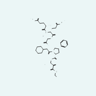 CCC[C@H](NC(=O)[C@@H]1C[C@@H](c2ccccc2)CN1C(=O)[C@@H](NC(=O)[C@@H](NC(=O)[C@H](CCC(=O)OC(C)(C)C)NC(=O)[C@H](CCC(=O)OC(C)(C)C)NC(C)=O)C(C)C)C1CCCCC1)C(=O)C(=O)NCC(=O)O